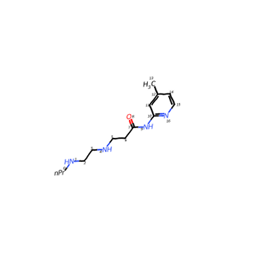 CCCNCCNCCC(=O)Nc1cc(C)ccn1